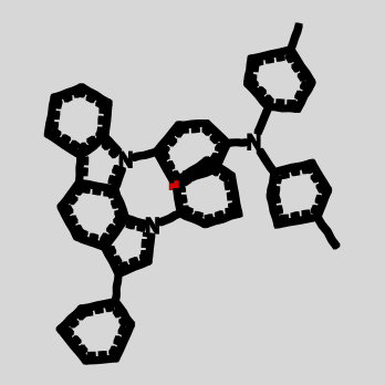 Cc1ccc(N(c2ccc(C)cc2)c2ccc(-n3c4ccccc4c4ccc5c(-c6ccccc6)cn(-c6ccccc6)c5c43)cc2)cc1